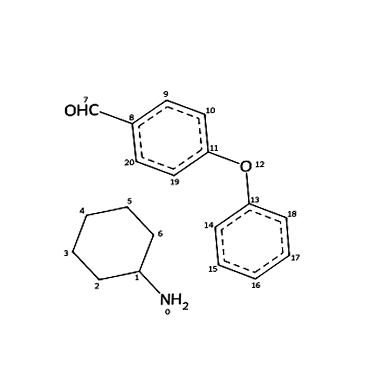 NC1CCCCC1.O=Cc1ccc(Oc2ccccc2)cc1